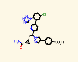 NC(=O)[C@H]1C[C@H]1CC(c1ccc(-c2cc(Cl)ccc2-n2cnnn2)cn1)n1cc(-c2ccc(C(=O)O)cc2)cn1